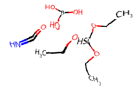 CCO[SiH](OCC)OCC.N=C=O.OB(O)O